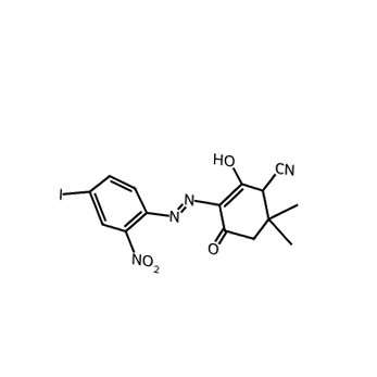 CC1(C)CC(=O)C(/N=N/c2ccc(I)cc2[N+](=O)[O-])=C(O)C1C#N